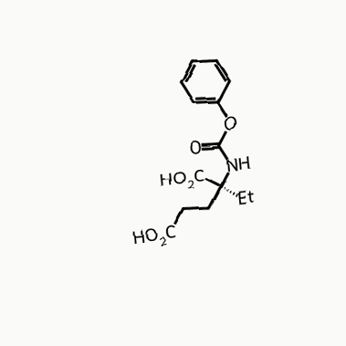 CC[C@@](CCC(=O)O)(NC(=O)Oc1ccccc1)C(=O)O